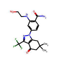 CC1(C)CC(=O)c2c(C(F)(F)F)nn(-c3ccc(C(N)=O)c(NCCO)c3)c2C1